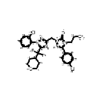 O=c1n(Cc2nc(C(F)(F)C3CCOCC3)n(-c3ccccc3Cl)n2)nc(-c2ccc(Cl)cc2)n1CCC(F)(F)F